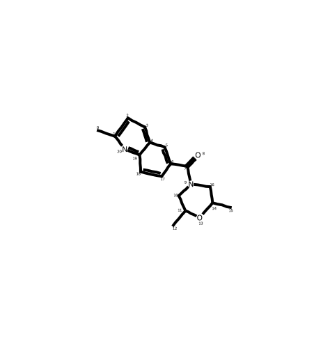 Cc1ccc2cc(C(=O)N3CC(C)OC(C)C3)ccc2n1